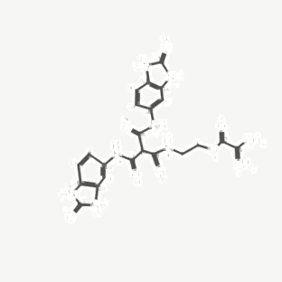 C=C(C)C(=O)OCCNC(=O)C(C(=O)Nc1ccc2[nH]c(=O)[nH]c2c1)C(=O)Nc1ccc2[nH]c(=O)[nH]c2c1